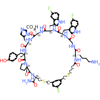 C[C@@]12CCCN1C(=O)[C@](C)(Cc1ccc(O)cc1)NC(=O)[C@H](Cc1cnc[nH]1)NC(=O)[C@H](CC(=O)O)NC(=O)[C@H](Cc1c[nH]c3ccc(F)cc13)NC(=O)[C@@H](Cc1c[nH]c3ccc(F)cc13)NC(=O)CNC(=O)[C@H](CCCCN)NC(=O)CCSCc1cc(F)cc(c1)CSC[C@@H](C(N)=O)NC2=O